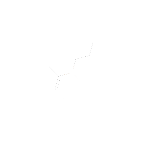 CC=C(C)[S+]([O-])CCC